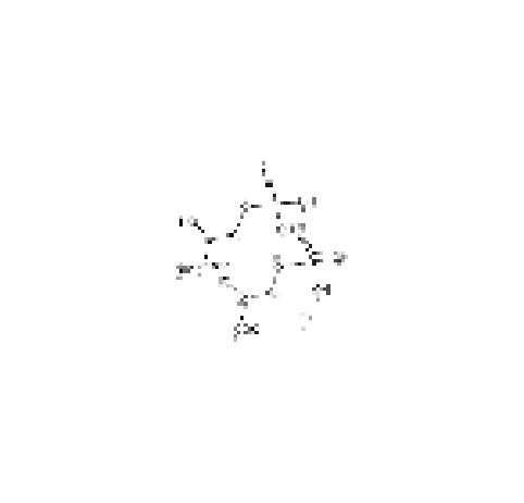 O=C([O-])C(O)COP(=O)(O)O.O=C([O-])C(O)COP(=O)(O)O.[Na+].[Na+]